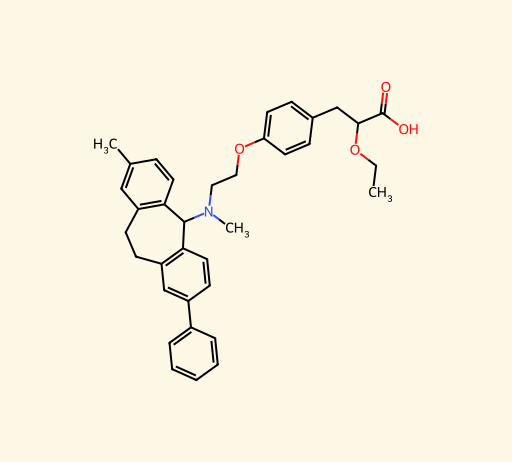 CCOC(Cc1ccc(OCCN(C)C2c3ccc(C)cc3CCc3cc(-c4ccccc4)ccc32)cc1)C(=O)O